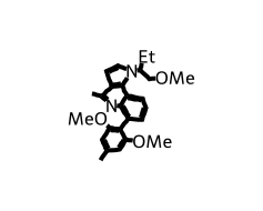 CCC(COC)n1ccc2c(C)nc3c(-c4c(OC)cc(C)cc4OC)cccc3c21